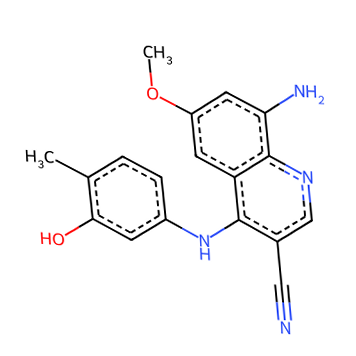 COc1cc(N)c2ncc(C#N)c(Nc3ccc(C)c(O)c3)c2c1